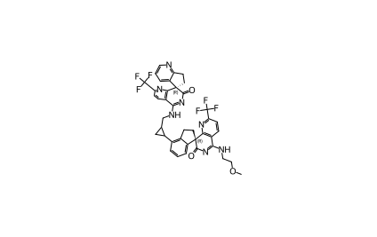 COCCNC1=NC(=O)[C@@]2(CCc3c(C4CC4CNC4=NC(=O)[C@@]5(CCc6ncccc65)c5nc(C(F)(F)F)ccc54)cccc32)c2nc(C(F)(F)F)ccc21